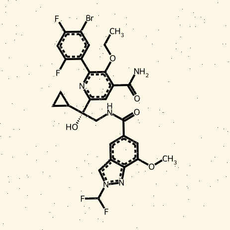 CCOc1c(C(N)=O)cc([C@@](O)(CNC(=O)c2cc(OC)c3nn(C(F)F)cc3c2)C2CC2)nc1-c1cc(Br)c(F)cc1F